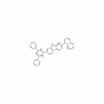 c1ccc(-c2nc(-c3ccccc3)nc(-c3ccc4c(c3)oc3nc(-c5cccc6cccnc56)ccc34)n2)cc1